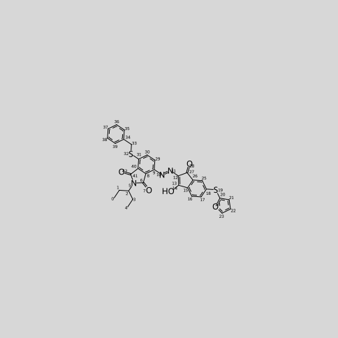 CCC(CC)N1C(=O)c2c(N=NC3=C(O)c4ccc(Sc5ccco5)cc4C3=O)ccc(SCc3ccccc3)c2C1=O